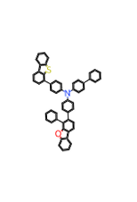 c1ccc(-c2ccc(N(c3ccc(-c4ccc5c(oc6ccccc65)c4-c4ccccc4)cc3)c3ccc(-c4cccc5c4sc4ccccc45)cc3)cc2)cc1